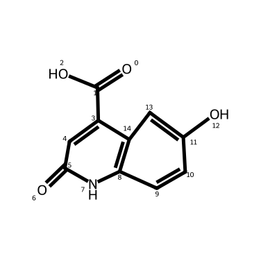 O=C(O)c1cc(=O)[nH]c2ccc(O)cc12